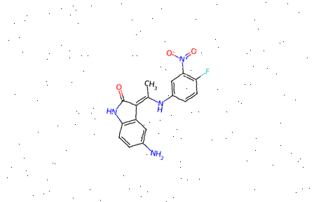 CC(Nc1ccc(F)c([N+](=O)[O-])c1)=C1C(=O)Nc2ccc(N)cc21